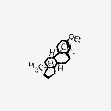 CCOC1=CC2=CC[C@H]3[C@@H]4CCC[C@@]4(C)CC[C@@H]3[C@@]2(C)CC1